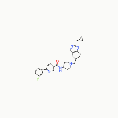 O=C(NC1CCN(CC2CCc3nc(CC4CC4)ncc3C2)CC1)c1ccc(-c2cccc(F)c2)nc1